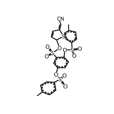 Cc1ccc(S(=O)(=O)Oc2ccc(OS(=O)(=O)c3ccc(C)cc3)c(S(=O)(=O)OC3C=CC(=CC#N)S3)c2)cc1